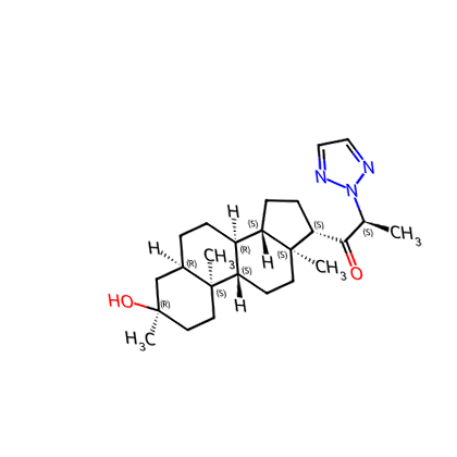 C[C@@H](C(=O)[C@H]1CC[C@H]2[C@@H]3CC[C@@H]4C[C@](C)(O)CC[C@]4(C)[C@H]3CC[C@]12C)n1nccn1